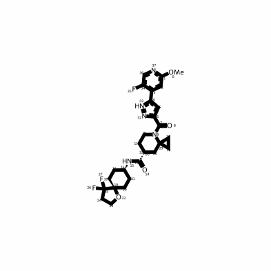 COc1cc(-c2cc(C(=O)N3CC[C@@H](C(=O)N[C@H]4CC[C@@]5(CC4)OCCC5(F)F)CC34CC4)n[nH]2)c(F)cn1